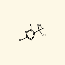 CC(N)(O)c1ccc(Br)nc1F